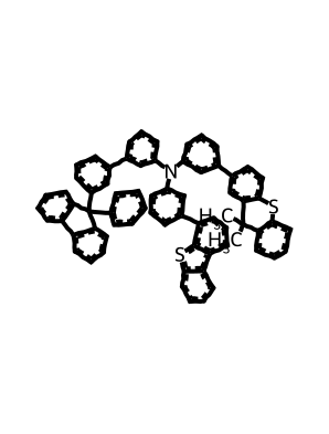 CC1(C)c2ccccc2Sc2ccc(-c3cccc(N(c4cccc(-c5cccc(C6(c7ccccc7)c7ccccc7-c7ccccc76)c5)c4)c4cccc(-c5cccc6c5sc5ccccc56)c4)c3)cc21